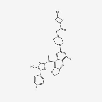 CN(c1nc(-c2ccc(F)cc2)c(C#N)s1)c1c2c(nc3c(F)cc(N4CCN(CC(=O)N5CC(O)C5)CC4)cc13)CCO2